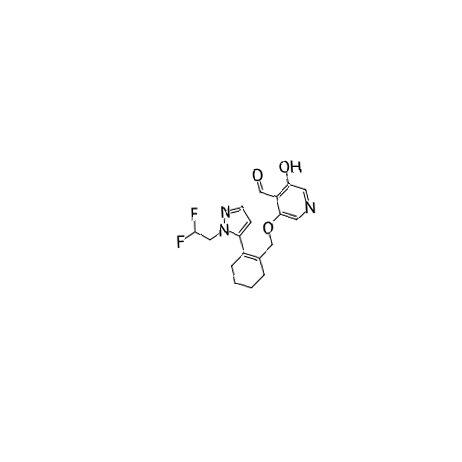 O=Cc1c(O)cncc1OCC1=C(c2ccnn2CC(F)F)CCCC1